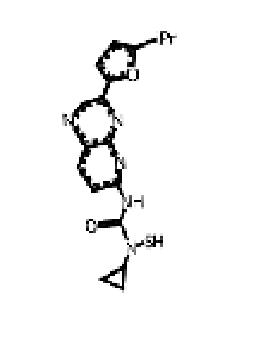 CC(C)c1ccc(-c2cnc3ccc(NC(=O)N(S)C4CC4)nc3n2)o1